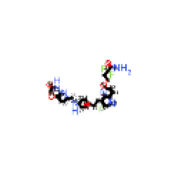 NC(=O)C(F)(F)CCOc1ccc2ncc(F)c(CCC34CCC(NCc5ccc6c(n5)NC(=O)CO6)(CC3)CO4)c2n1